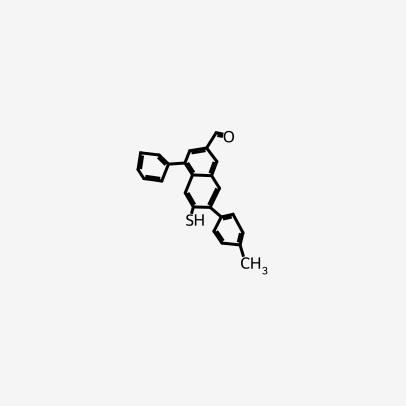 Cc1ccc(-c2cc3cc(C=O)cc(-c4ccccc4)c3cc2S)cc1